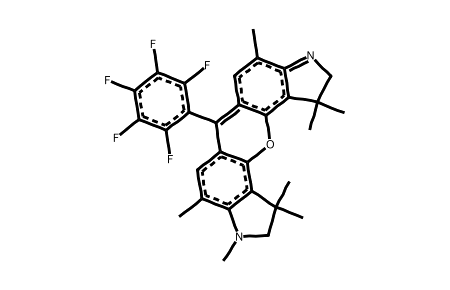 Cc1cc2c(c3c1N(C)CC3(C)C)Oc1c3c(c(C)cc1=C2c1c(F)c(F)c(F)c(F)c1F)=NCC3(C)C